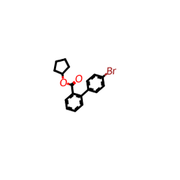 O=C(OC1CCCC1)c1ccccc1-c1ccc(Br)cc1